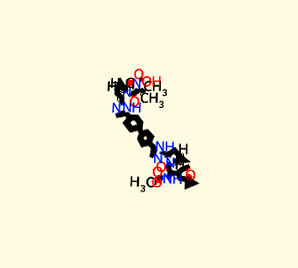 COC(=O)NC(C(=O)N1[C@@H]2C[C@@H]2C[C@H]1c1ncc(-c2ccc(-c3ccc(-c4cnc([C@@H]5C[C@H]6C[C@H]6N5C(=O)[C@H](C(C)C)N(C)C(=O)O)[nH]4)cc3)cc2)[nH]1)C1CCOC2(CC2)C1